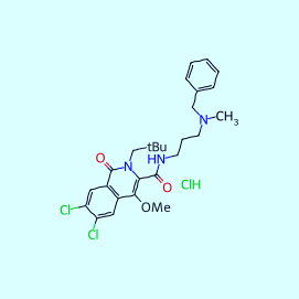 COc1c(C(=O)NCCCN(C)Cc2ccccc2)n(CC(C)(C)C)c(=O)c2cc(Cl)c(Cl)cc12.Cl